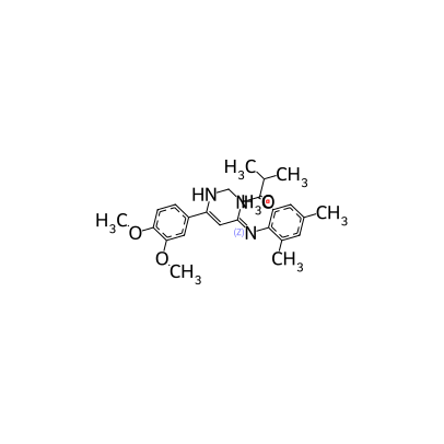 COc1ccc(C2=C/C(=N/c3c(C)cc(C)cc3C)N(C(=O)C(C)C)CN2)cc1OC